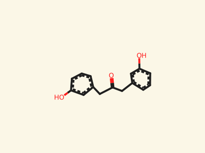 O=C(Cc1cccc(O)c1)Cc1cccc(O)c1